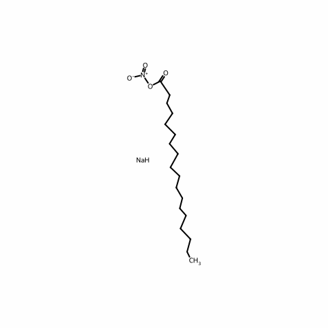 CCCCCCCCCCCCCCCCCC(=O)O[N+](=O)[O-].[NaH]